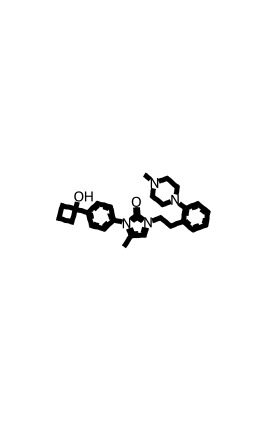 Cc1cn(CCc2ccccc2N2CCN(C)CC2)c(=O)n1-c1ccc(C2(O)CCC2)cc1